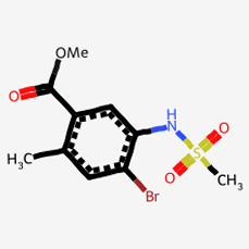 COC(=O)c1cc(NS(C)(=O)=O)c(Br)cc1C